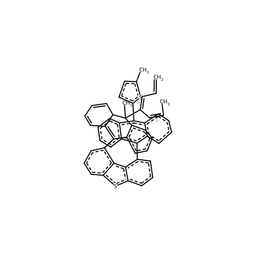 C=C/C=C(\C=C/C)C1(C)c2ccccc2C(c2cccc3sc4cccc(-c5c6ccccc6c(-c6ccc(C)s6)c6ccccc56)c4c23)=C2C=CC=CC21